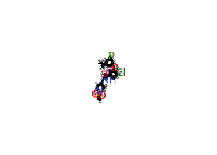 CCS(=O)(=O)N1CCC(CNC(=O)c2ccc(Cl)c(Oc3cc(F)cc(C(C)C)c3)c2I)CC1